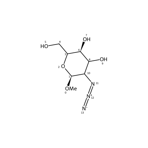 CO[C@H]1OC(CO)[C@@H](O)C(O)C1N=[N+]=[N-]